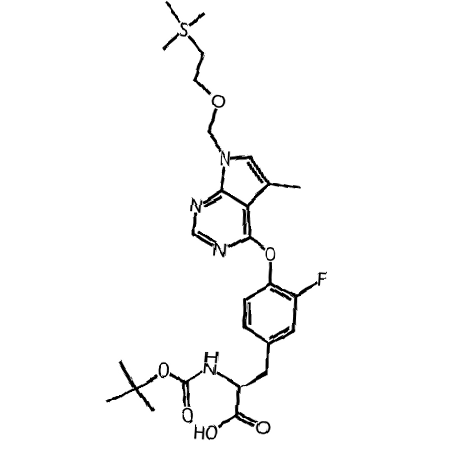 Cc1cn(COCCS(C)(C)C)c2ncnc(Oc3ccc(C[C@H](NC(=O)OC(C)(C)C)C(=O)O)cc3F)c12